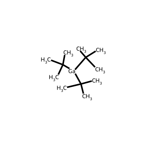 C[C](C)(C)[Ga]([C](C)(C)C)[C](C)(C)C